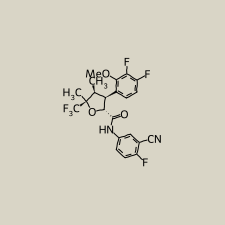 COc1c([C@H]2[C@H](C(=O)Nc3ccc(F)c(C#N)c3)O[C@@](C)(C(F)(F)F)[C@H]2C)ccc(F)c1F